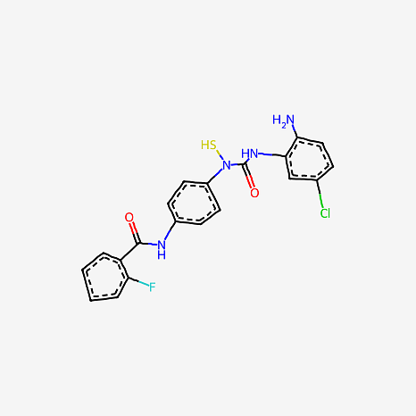 Nc1ccc(Cl)cc1NC(=O)N(S)c1ccc(NC(=O)c2ccccc2F)cc1